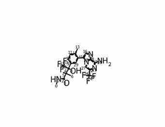 CNC(=O)C(C)(C)C(O)(c1ccc(C)c(-c2cnc3c(N)nc(C(F)(F)F)cn23)c1)C(F)(F)F